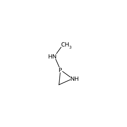 CNP1CN1